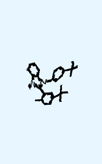 Cc1ccc(C(C)(C)C)cc1-c1n(-c2ccc(C(C)(C)C)cc2)c2ccccc2[n+]1C